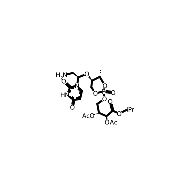 CC(=O)O[C@H](C(=O)OC(C)C)[C@@H](COP1(=O)OC[C@@H](O[C@H](CN)n2ccc(=O)[nH]c2=O)[C@H](C)O1)OC(C)=O